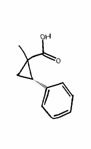 CC1(C(=O)O)C[C@H]1c1ccccc1